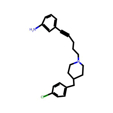 Nc1cccc(C#CCCCN2CCC(Cc3ccc(Cl)cc3)CC2)c1